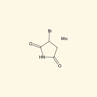 O=C1CC(Br)C(=O)N1.[Mo]